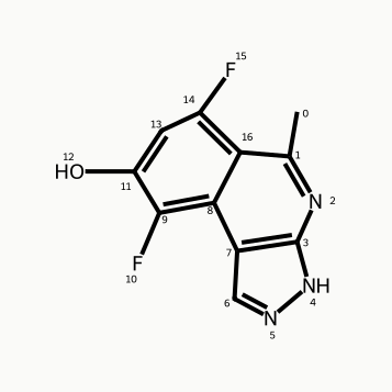 Cc1nc2[nH]ncc2c2c(F)c(O)cc(F)c12